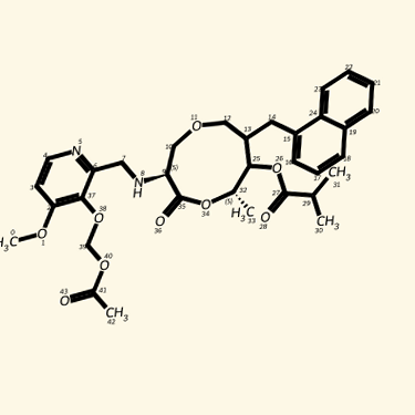 COc1ccnc(CN[C@H]2COCC(Cc3cccc4ccccc34)C(OC(=O)C(C)C)[C@H](C)OC2=O)c1OCOC(C)=O